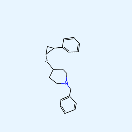 [CH](C1CCN(Cc2ccccc2)CC1)[C@@H]1C[C@H]1c1ccccc1